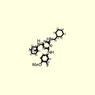 COc1ccc(Nc2nc(NCC3CCCCC3)nc(NC3CN4CCC3CC4)n2)cc1F